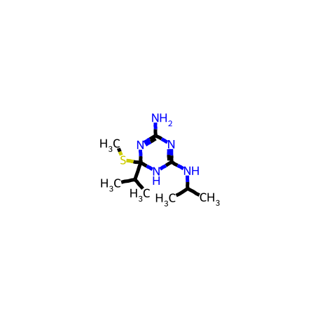 CSC1(C(C)C)N=C(N)N=C(NC(C)C)N1